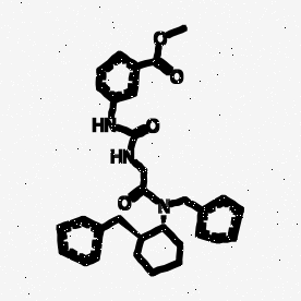 COC(=O)c1cccc(NC(=O)NCC(=O)N(Cc2ccccc2)[C@@H]2CCCC[C@H]2Cc2ccccc2)c1